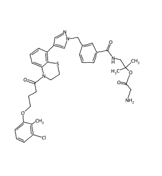 Cc1c(Cl)cccc1OCCCC(=O)N1CCSc2c(-c3cnn(Cc4cccc(C(=O)NCC(C)(C)OC(=O)CN)c4)c3)cccc21